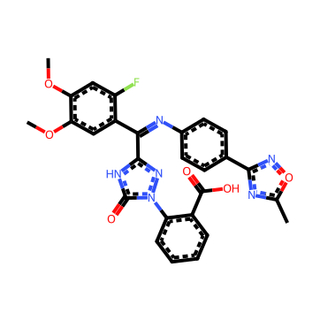 COc1cc(F)c(/C(=N/c2ccc(-c3noc(C)n3)cc2)c2nn(-c3ccccc3C(=O)O)c(=O)[nH]2)cc1OC